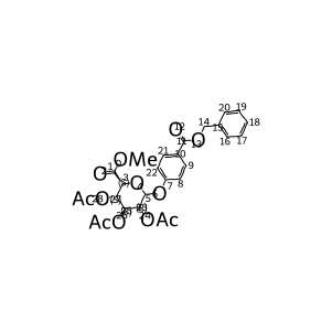 COC(=O)[C@H]1OC(Oc2ccc(C(=O)OCc3ccccc3)cc2)[C@H](OC(C)=O)[C@@H](OC(C)=O)[C@@H]1OC(C)=O